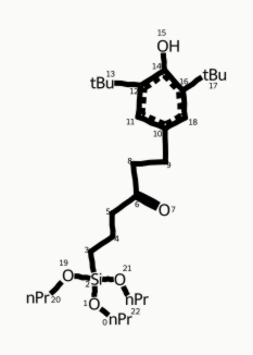 CCCO[Si](CCCC(=O)CCc1cc(C(C)(C)C)c(O)c(C(C)(C)C)c1)(OCCC)OCCC